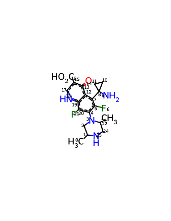 CC1CN(c2c(F)c(C3(N)CC3)c3c(=O)c(C(=O)O)c[nH]c3c2F)C(C)CN1